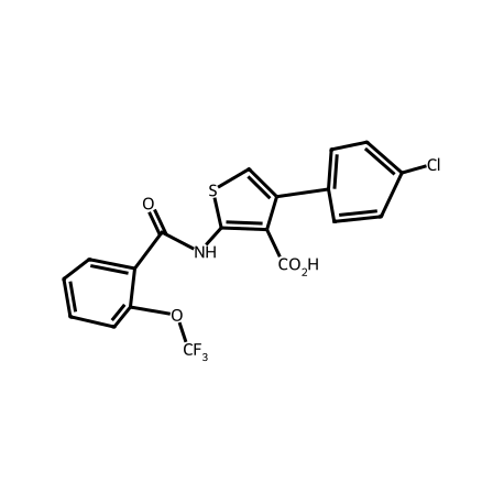 O=C(Nc1scc(-c2ccc(Cl)cc2)c1C(=O)O)c1ccccc1OC(F)(F)F